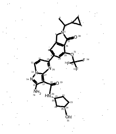 CC(C1CC1)N1Cc2cc(-c3ccn4nc(N)c(C(=O)N[C@@H]5CC[C@@H](O)C5)c4n3)cc(OC(F)(F)F)c2C1=O